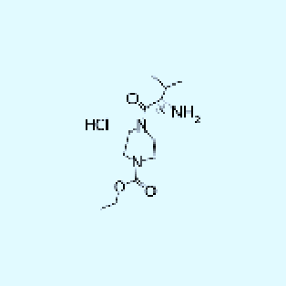 CCOC(=O)N1CCN(C(=O)[C@@H](N)C(C)C)CC1.Cl